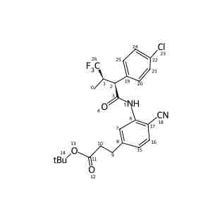 C[C@H]([C@H](C(=O)Nc1cc(CCC(=O)OC(C)(C)C)ccc1C#N)c1ccc(Cl)cc1)C(F)(F)F